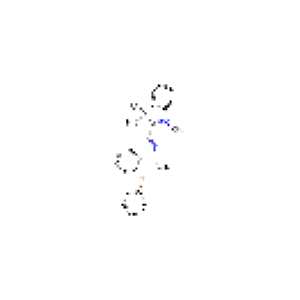 CN(/N=C/C1=[N+](C)c2ccccc2C1(C)C)c1ccccc1Sc1ccccc1